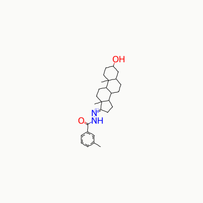 Cc1cccc(C(=O)N/N=C2\CCC3C4CCC5CC(O)CCC5(C)C4CCC23C)c1